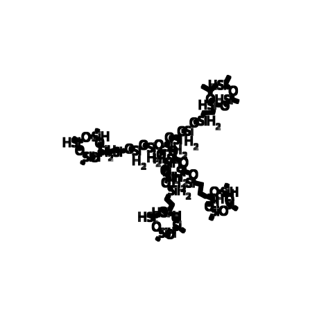 CC1C[SiH](C)O[SiH](C)O[SiH](CC[SiH2]O[SiH2]O[SiH2]O[Si](O[SiH2]O[SiH2]O[SiH2]CC[SiH]2O[SiH](C)O[SiH](C)O[SiH](C)O2)(O[SiH2]O[SiH2]O[SiH2]CC[SiH]2O[SiH](C)O[SiH](C)O[SiH](C)O2)O[SiH2]O[SiH2]O[SiH2]CC[SiH]2O[SiH](C)O[SiH](C)O[SiH](C)O2)O1